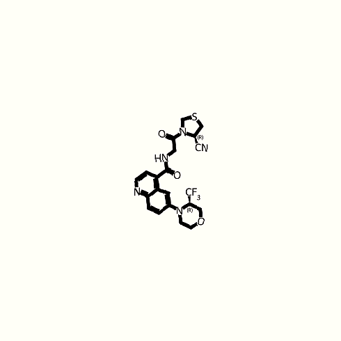 N#C[C@@H]1CSCN1C(=O)CNC(=O)c1ccnc2ccc(N3CCOC[C@@H]3C(F)(F)F)cc12